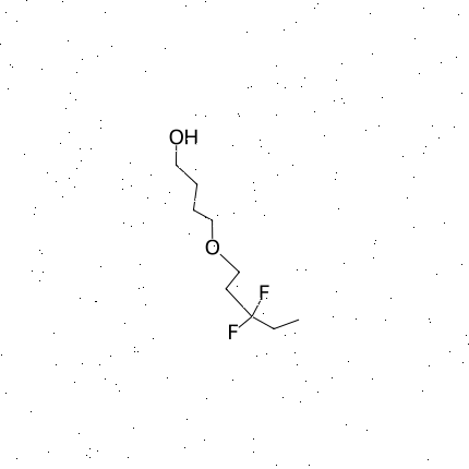 CCC(F)(F)CCOCCCCO